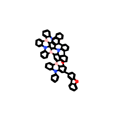 c1ccc(-c2cccc(-c3ccccc3)c2N2c3cc4c(cc3B3c5ccccc5N5c6ccccc6B6c7ccccc7N(c7ccccc7)c7cc2c3c5c76)B2c3ccccc3N(c3ccccc3)c3cc(-c5ccc6oc7ccccc7c6c5)cc(c32)O4)cc1